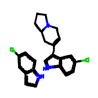 Clc1ccc2[nH]cc(C3=CCN4CCCC4C3)c2c1.Clc1ccc2[nH]ccc2c1